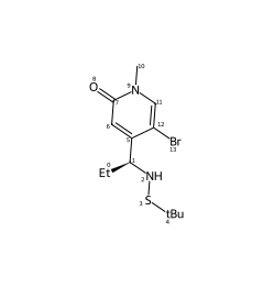 CC[C@H](NSC(C)(C)C)c1cc(=O)n(C)cc1Br